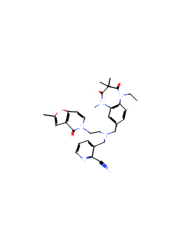 CCN1C(=O)C(C)(C)C(=O)N(C)c2cc(CN(CCn3ccc4oc(C)cc4c3=O)Cc3cccnc3C#N)ccc21